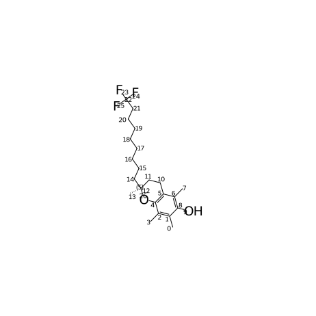 Cc1c(C)c2c(c(C)c1O)CC[C@](C)(CCCCCCCCC(F)(F)F)O2